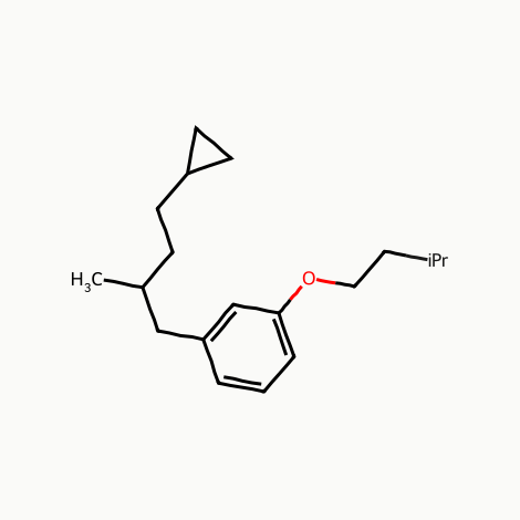 CC(C)CCOc1cccc(CC(C)CCC2CC2)c1